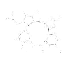 Cc1nc2c(s1)Cc1c(C)nn(CC3CC3)c1-c1cnc(N)c(c1)OC(C)c1cc(F)ccc1-2